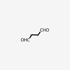 O=C[C]CC=O